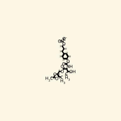 C=C1OC(C)=C(COC(=O)C(NC(=O)Oc2ccc(CCCO[N+](=O)[O-])cc2)C(C)O)O1